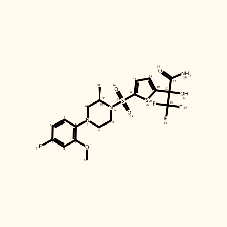 COc1cc(F)ccc1N1CCN(S(=O)(=O)c2ccc(C(O)(C(N)=O)C(F)(F)F)s2)[C@H](C)C1